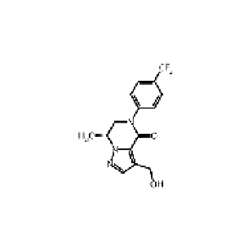 C[C@H]1CN(c2ccc(C(F)(F)F)cc2)C(=O)c2c(CO)cnn21